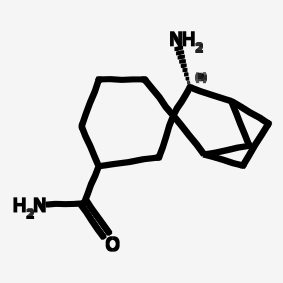 NC(=O)C1CCCC2(C1)C1CCC(C1)[C@H]2N